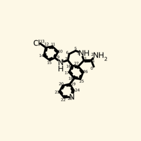 C/C(N)=C1/NCCC(Nc2ccc(Cl)cc2)c2cc(-c3cccnc3)ccc21